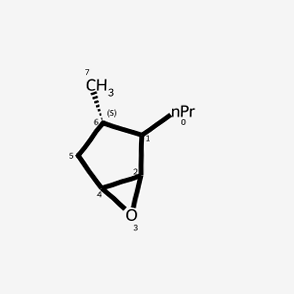 CCCC1C2OC2C[C@@H]1C